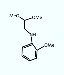 COc1ccccc1NCC(OC)OC